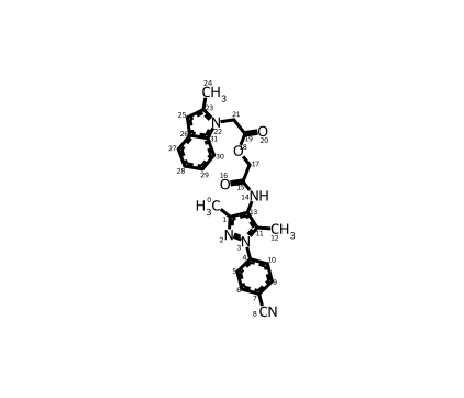 Cc1nn(-c2ccc(C#N)cc2)c(C)c1NC(=O)COC(=O)Cn1c(C)cc2ccccc21